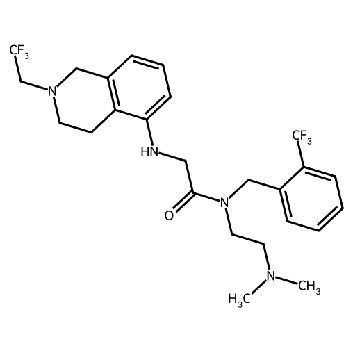 CN(C)CCN(Cc1ccccc1C(F)(F)F)C(=O)CNc1cccc2c1CCN(CC(F)(F)F)C2